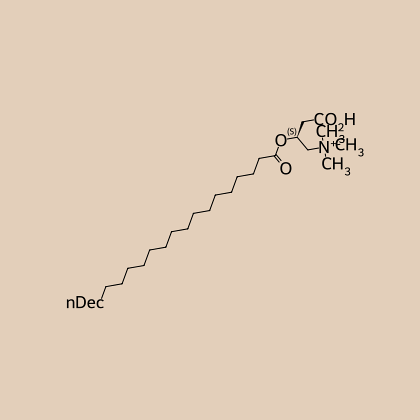 CCCCCCCCCCCCCCCCCCCCCCCCCC(=O)O[C@@H](CC(=O)O)C[N+](C)(C)C